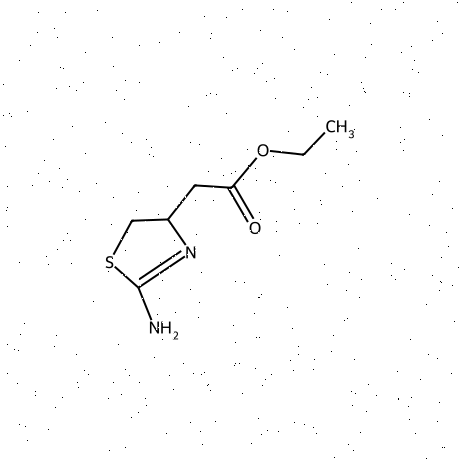 CCOC(=O)CC1CSC(N)=N1